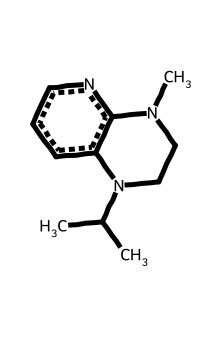 CC(C)N1CCN(C)c2ncccc21